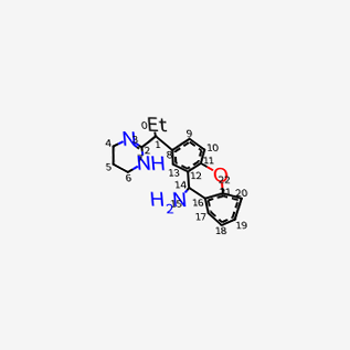 CCC(C1=NCCCN1)c1ccc2c(c1)C(N)c1ccccc1O2